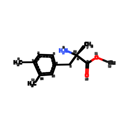 Cc1ccc(C[C@](C)(N)C(=O)OC(C)(C)C)cc1C